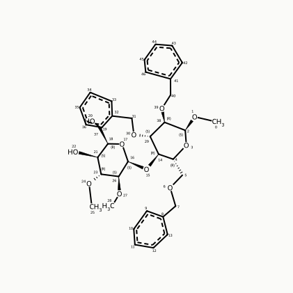 CO[C@H]1O[C@H](COCc2ccccc2)[C@@H](O[C@@H]2O[C@H](CO)[C@H](O)[C@@H](OC)[C@@H]2OC)[C@H](OCc2ccccc2)[C@H]1OCc1ccccc1